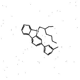 CCCCC(CC)Cn1c2ccccc2c2ccc(-c3cccc(C)c3)cc21